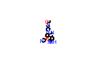 C=CC(=O)N1CC2(CCN(c3ccc(OC4CCN(C)CC4)c(-c4c(C)ccc5[nH]ncc45)c3C#N)CC2)C1